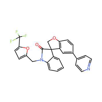 O=C1N(Cc2ccc(C(F)(F)F)o2)c2ccccc2C12COc1ccc(-c3ccncc3)cc12